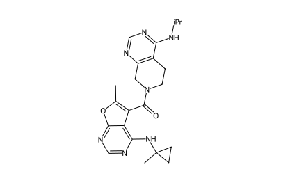 Cc1oc2ncnc(NC3(C)CC3)c2c1C(=O)N1CCc2c(ncnc2NC(C)C)C1